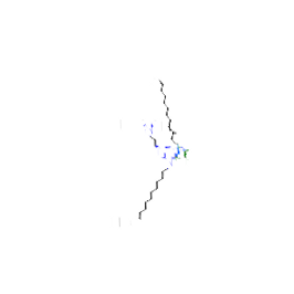 CCCCCCCCCCCCN1CN(CCCN(C)C)C[N+](CCCCCCCCCCCC)([Cr]([Cl])([Cl])[Cl])C1